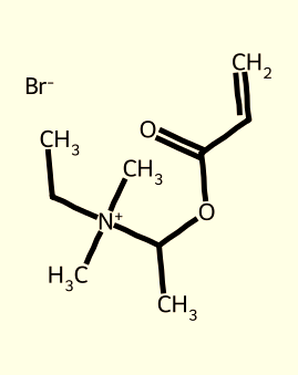 C=CC(=O)OC(C)[N+](C)(C)CC.[Br-]